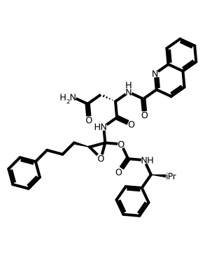 CC(C)[C@H](NC(=O)OC1(NC(=O)[C@H](CC(N)=O)NC(=O)c2ccc3ccccc3n2)O[C@H]1CCCc1ccccc1)c1ccccc1